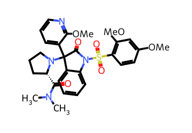 COc1ccc(S(=O)(=O)N2C(=O)C(c3cccnc3OC)(N3CCC[C@H]3C(=O)N(C)C)c3ccccc32)c(OC)c1